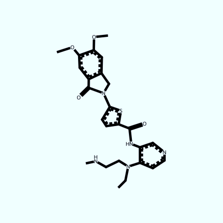 CCN(CCNC)c1ccncc1NC(=O)c1ccc(N2Cc3cc(OC)c(OC)cc3C2=O)s1